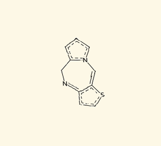 C1=c2sccc2=NCc2cccn21